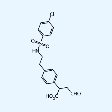 O=CCC(C(=O)O)c1ccc(CCNS(=O)(=O)c2ccc(Cl)cc2)cc1